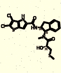 CSC[C@H](O)C(=O)N(C)[C@@H]1c2ccccc2C[C@H]1NC(=O)c1cc2sc(Cl)c(Cl)c2[nH]1